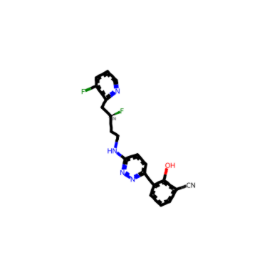 N#Cc1cccc(-c2ccc(NCC[C@H](F)Cc3ncccc3F)nn2)c1O